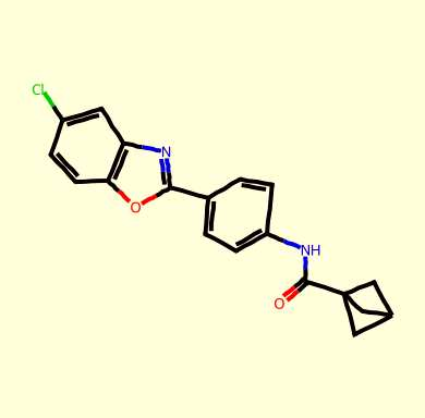 O=C(Nc1ccc(-c2nc3cc(Cl)ccc3o2)cc1)C12CC(C1)C2